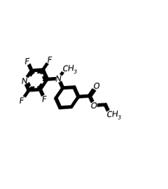 CCOC(=O)C1CCCC(N(C)c2c(F)c(F)nc(F)c2F)C1